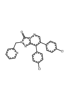 O=c1n(Cc2ccccn2)nc2c(-c3ccc(Cl)cc3)c(-c3ccc(Cl)cc3)cnn12